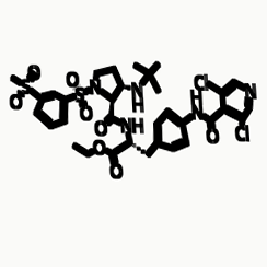 CCOC(=O)[C@@H](Cc1ccc(NC(=O)c2c(Cl)cncc2Cl)cc1)NC(=O)[C@@H]1[C@@H](NC(C)(C)C)CCN1S(=O)(=O)c1cccc(S(C)(=O)=O)c1